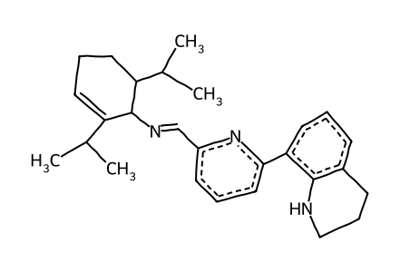 CC(C)C1=CCCC(C(C)C)C1/N=C/c1cccc(-c2cccc3c2NCCC3)n1